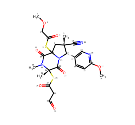 COCC(=O)SC12C[C@](C)(C#N)[C@H](c3ccc(OC)nc3)N1C(=O)[C@](C)(SC(=O)CC=O)N(C)C2=O